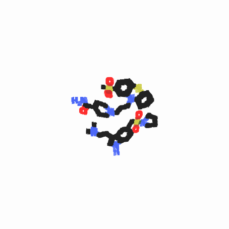 CN(C)CCc1c[nH]c2ccc(CS(=O)(=O)N3CCCC3)cc12.CS(=O)(=O)c1ccc2c(c1)N(CCCN1CCC(C(N)=O)CC1)c1ccccc1S2